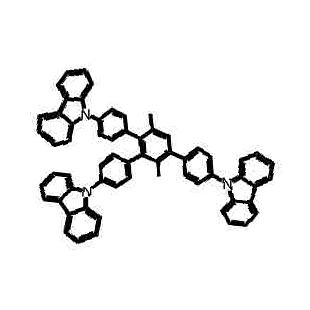 Cc1cc(-c2ccc(-n3c4ccccc4c4ccccc43)cc2)c(C)c(-c2ccc(-n3c4ccccc4c4ccccc43)cc2)c1-c1ccc(-n2c3ccccc3c3ccccc32)cc1